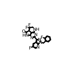 CC12C(=O)Nc3nc(-c4nn(Cc5ccccc5F)c5ncc(F)cc45)nc(c31)NCC2(F)F